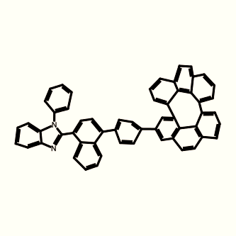 c1ccc(-n2c(-c3ccc(-c4ccc(-c5cc6ccc7cccc8c9cccc%10ccc%11cccc(c(c5)c6c78)c%11c%109)cc4)c4ccccc34)nc3ccccc32)cc1